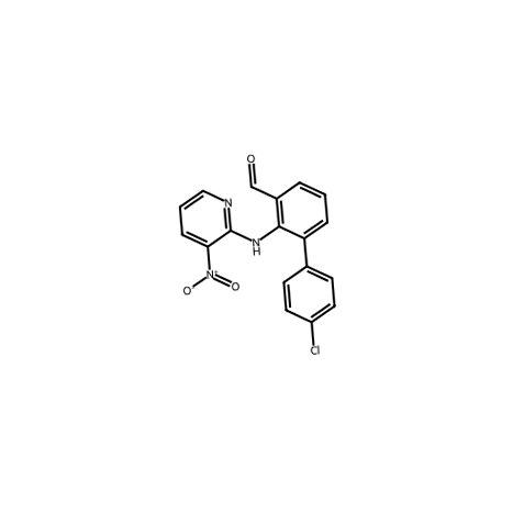 O=Cc1cccc(-c2ccc(Cl)cc2)c1Nc1ncccc1[N+](=O)[O-]